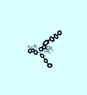 CC1(C)c2ccccc2-c2ccc(N(c3ccc(-c4ccc(-c5ccccc5)cc4)cc3)c3ccc4c(c3)C(C)(C)c3cc(-c5ccc(-c6ccc(-c7ccccc7)cc6)cc5)ccc3-4)cc21